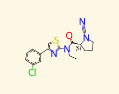 CCN(C(=O)[C@@H]1CCCN1C#N)c1nc(-c2cccc(Cl)c2)cs1